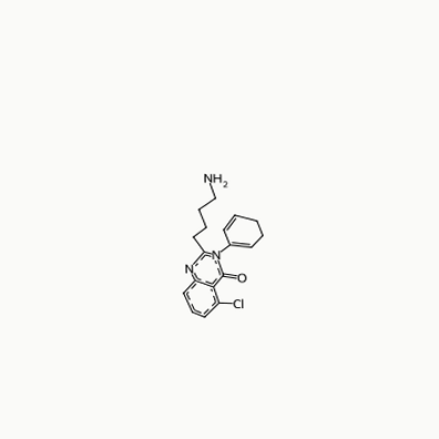 NCCCCc1nc2cccc(Cl)c2c(=O)n1C1=CCCC=C1